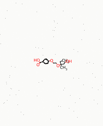 CCC(C)(CCO)OCCOc1ccc(C(=O)O)cc1